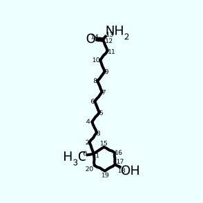 CC1(CCCCCCCCCCC(N)=O)CCC(O)CC1